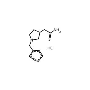 Cl.NC(=S)CC1CCN(Cc2ccccc2)C1